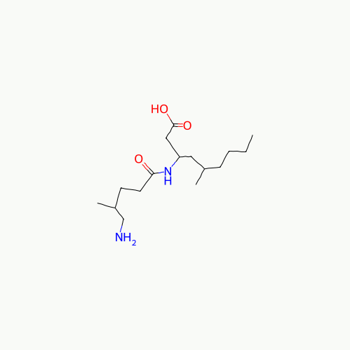 CCCCC(C)CC(CC(=O)O)NC(=O)CCC(C)CN